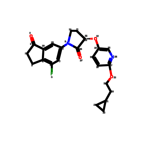 O=C1CCc2c(F)cc(N3CC[C@H](Oc4ccc(OCCC5CC5)nc4)C3=O)cc21